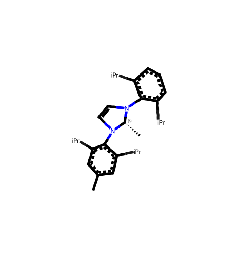 Cc1cc(C(C)C)c(N2C=CN(c3c(C(C)C)cccc3C(C)C)[C@@H]2C)c(C(C)C)c1